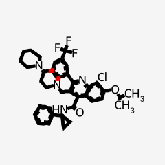 CC(C)Oc1ccc2c(C(=O)NC3(c4ccccc4)CC3)c(CN3CCC(N4CCCCC4)CC3)c(-c3cccc(C(F)(F)F)c3)nc2c1Cl